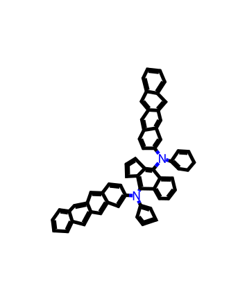 C1=CC=C(N(c2ccc3cc4cc5ccccc5cc4cc3c2)c2c3c(c(N(C4=CCCC=C4)c4ccc5cc6cc7ccccc7cc6cc5c4)c4ccccc24)C=C=C3)C=1